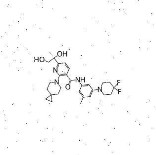 Cc1cc(NC(=O)c2ccc([C@](C)(O)CO)nc2N2CCC3(CC2)CC3)cc(N2CCC(F)(F)CC2)c1